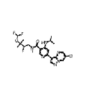 CC(C)Nc1cc(-c2cnn3cc(Cl)cnc23)ncc1C(=O)NCC(F)C(C)(C)OC(F)F